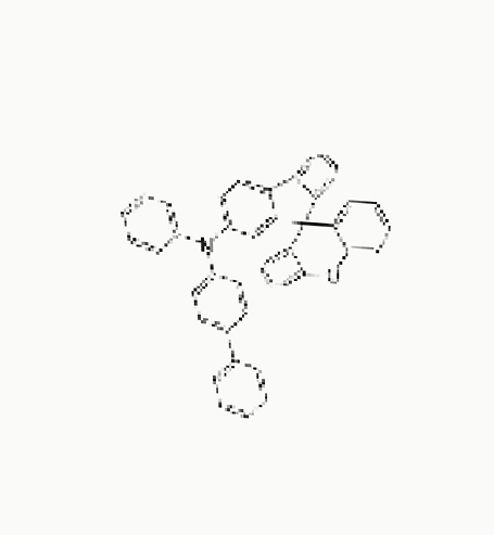 c1ccc(-c2ccc(N(c3ccccc3)c3ccc4c(c3)C3(c5ccccc5Oc5ccccc53)c3ccccc3-4)cc2)cc1